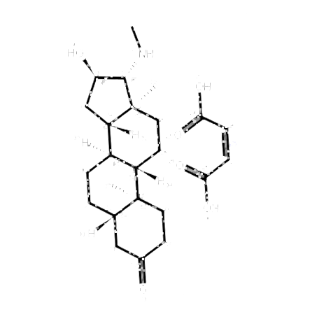 CN[C@H]1[C@H](O)C[C@H]2[C@@H]3CC[C@H]4CC(=O)CC[C@]4(C)[C@H]3CC[C@@]21C.O=C(O)/C=C\C(=O)O